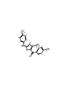 N#Cc1ccc(C(=O)c2sc(Nc3ccc(C(F)(F)F)cc3)nc2N)cc1